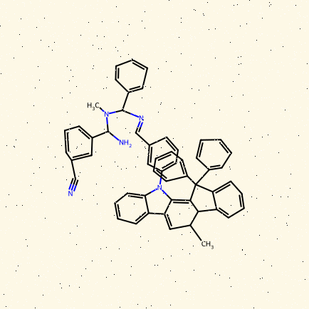 CC1C=c2c(n(-c3cccc(/C=N/C(c4ccccc4)N(C)C(N)c4cccc(C#N)c4)c3)c3ccccc23)=C2C1c1ccccc1C2(c1ccccc1)c1ccccc1